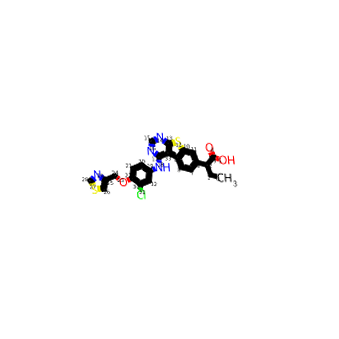 CCC(C(=O)O)c1ccc2c(c1)sc1ncnc(Nc3ccc(OCc4cscn4)c(Cl)c3)c12